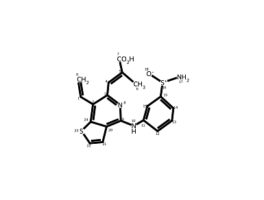 C=Cc1c(/C=C(\C)C(=O)O)nc(Nc2cccc([S+](N)[O-])c2)c2ccsc12